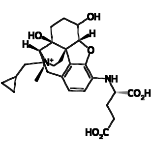 C[N@+]1(CC2CC2)CC[C@]23c4c5ccc(N[C@@H](CCC(=O)O)C(=O)O)c4O[C@H]2C(O)CC[C@@]3(O)[C@H]1C5